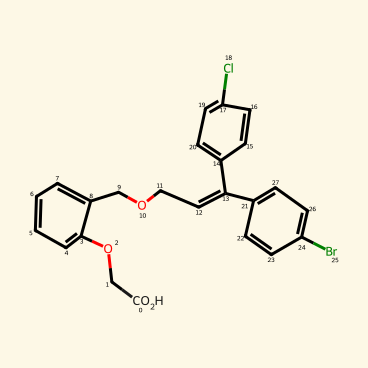 O=C(O)COc1ccccc1COC/C=C(\c1ccc(Cl)cc1)c1ccc(Br)cc1